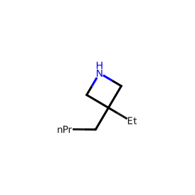 CCCCC1(CC)CNC1